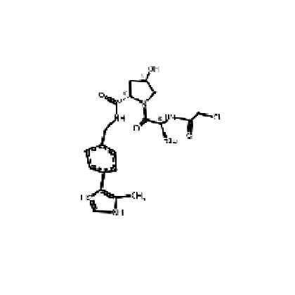 CC1=C(c2ccc(CNC(=O)[C@@H]3C[C@@H](O)CN3C(=O)[C@@H](NC(=O)CCl)C(C)(C)C)cc2)[SH]=CN1